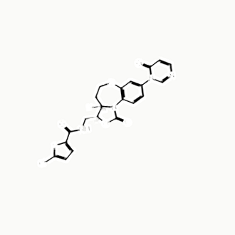 O=C(NC[C@@H]1OC(=O)N2c3ccc(-n4cnccc4=O)cc3OCC[C@@H]12)c1ccc(Cl)s1